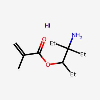 C=C(C)C(=O)OC(CC)C(N)(CC)CC.I